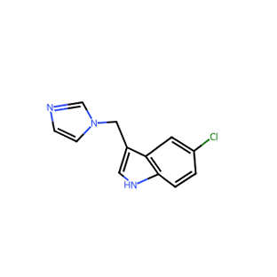 Clc1ccc2[nH]cc(Cn3ccnc3)c2c1